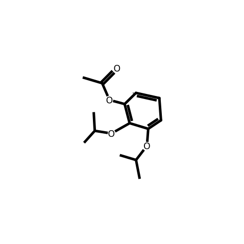 CC(=O)Oc1[c]ccc(OC(C)C)c1OC(C)C